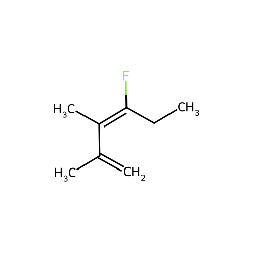 C=C(C)/C(C)=C(/F)CC